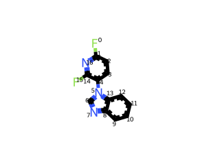 Fc1ccc(-n2cnc3ccccc32)c(F)n1